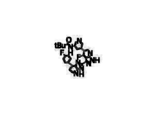 CC(C)(C)C(=O)Nc1cncc(-c2cnc3[nH]nc(-c4nc5c(-c6ccc(F)cc6)ccnc5[nH]4)c3c2F)c1